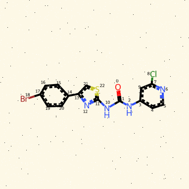 O=C(Nc1ccnc(Cl)c1)Nc1nc(-c2ccc(Br)cc2)cs1